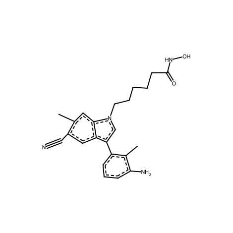 Cc1cc2c(cc1C#N)c(-c1cccc(N)c1C)cn2CCCCCC(=O)NO